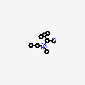 c1ccc(-c2ccc(-c3nc(-c4ccccc4)nc(-c4cc(-c5cccnc5)cc(-c5c6ccccc6cc6ccccc56)c4)n3)cc2)cc1